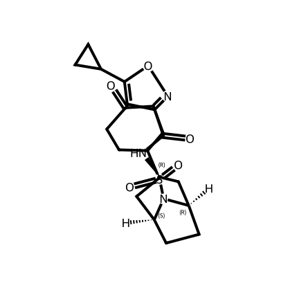 O=C1CCC(S(=O)(=O)N2[C@@H]3CC[C@H]2C[C@@H](NC(=O)c2cc(C4CC4)on2)C3)CC1